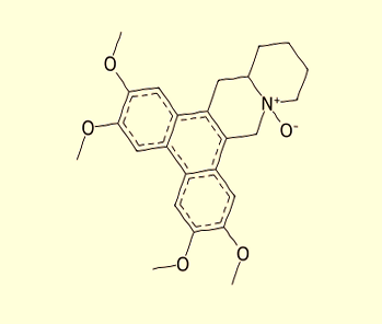 COc1cc2c3c(c4cc(OC)c(OC)cc4c2cc1OC)C[N+]1([O-])CCCCC1C3